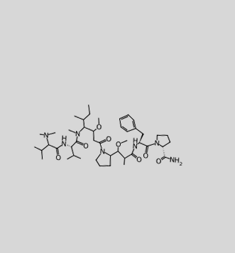 CCC(C)C(C(CC(=O)N1CCCC1C(OC)C(C)C(=O)N[C@@H](Cc1ccccc1)C(=O)N1CCC[C@@H]1C(N)=O)OC)N(C)C(=O)[C@@H](NC(=O)C(C(C)C)N(C)C)C(C)C